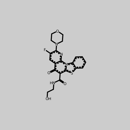 O=C(NCCO)c1c(=O)c2cc(F)c(N3CCOCC3)nc2n2c1sc1ccccc12